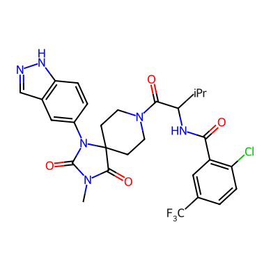 CC(C)C(NC(=O)c1cc(C(F)(F)F)ccc1Cl)C(=O)N1CCC2(CC1)C(=O)N(C)C(=O)N2c1ccc2[nH]ncc2c1